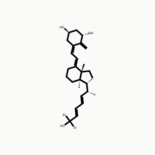 C=C1/C(=C\C=C2/CCC[C@]3(C)[C@@H]([C@H](C)/C=C/C=C/C(O)(CC)CC)CC[C@@]23C)C[C@@H](O)C[C@@H]1O